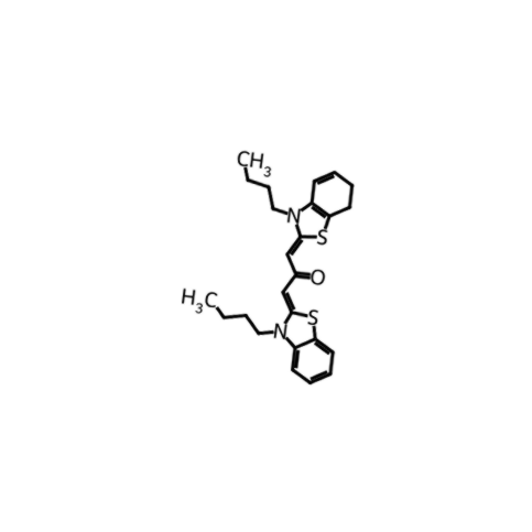 CCCCN1C2=C(CCC=C2)S/C1=C\C(=O)/C=C1\Sc2ccccc2N1CCCC